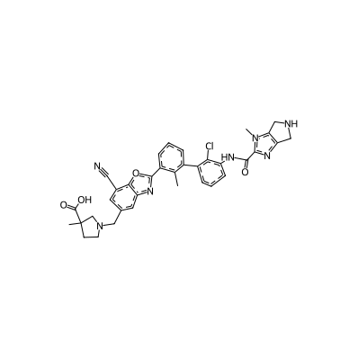 Cc1c(-c2nc3cc(CN4CCC(C)(C(=O)O)C4)cc(C#N)c3o2)cccc1-c1cccc(NC(=O)c2nc3c(n2C)CNC3)c1Cl